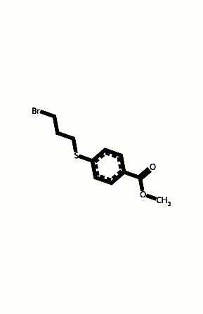 COC(=O)c1ccc(SCCCBr)cc1